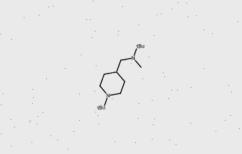 CN(CC1CCN(C(C)(C)C)CC1)C(C)(C)C